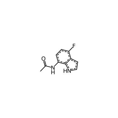 CC(=O)Nc1ccc(F)c2cc[nH]c12